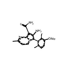 COc1ccc(C)c(-c2c(N)c(C(N)=O)c3nc(C)ccn23)c1C